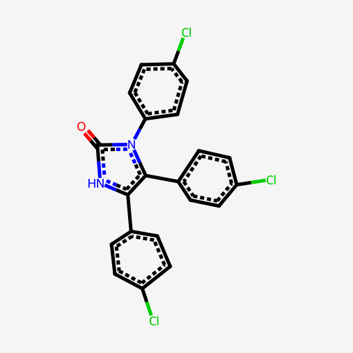 O=c1[nH]c(-c2ccc(Cl)cc2)c(-c2ccc(Cl)cc2)n1-c1ccc(Cl)cc1